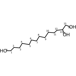 OCCCCCCCCCCCCC(O)CO